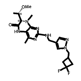 CO[C@@H](C)[C@H]1C(=O)Nc2c(C)nc(NCc3cnn(CC4CC(F)(F)C4)c3)nc2N1C